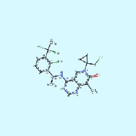 Cc1c(=O)n(C2(CF)CC2)cc2c(N[C@@H](C)c3cccc(C(C)(F)F)c3F)ncnc12